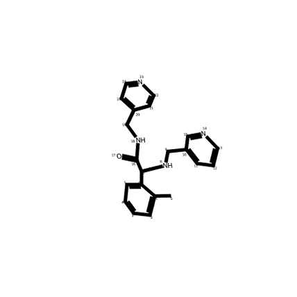 Cc1ccccc1C(NCc1cccnc1)C(=O)NCc1ccncc1